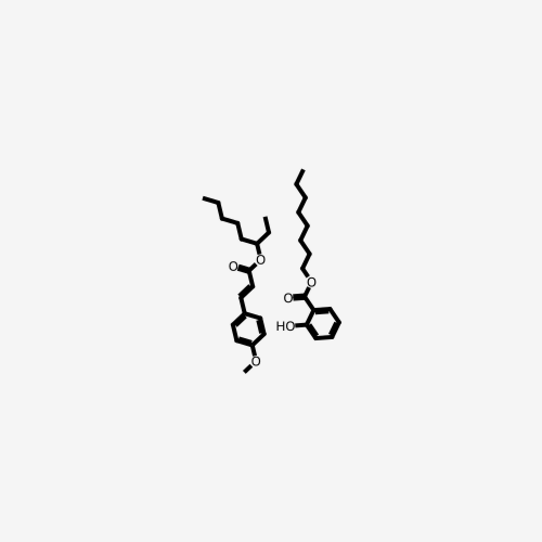 CCCCCC(CC)OC(=O)C=Cc1ccc(OC)cc1.CCCCCCCCOC(=O)c1ccccc1O